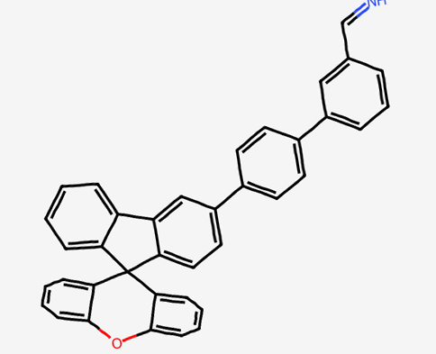 N=Cc1cccc(-c2ccc(-c3ccc4c(c3)-c3ccccc3C43c4ccccc4Oc4ccccc43)cc2)c1